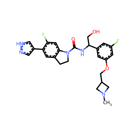 CN1CC(COc2cc(F)cc(C(CO)NC(=O)N3CCc4cc(-c5cn[nH]c5)c(F)cc43)c2)C1